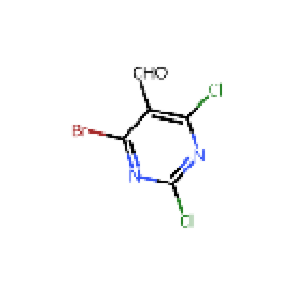 O=Cc1c(Cl)nc(Cl)nc1Br